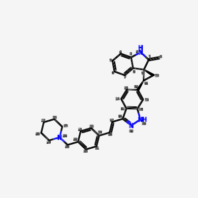 C=C1Nc2ccccc2[C@]12C[C@H]2c1ccc2c(/C=C/c3ccc(CN4CCCCC4)cc3)n[nH]c2c1